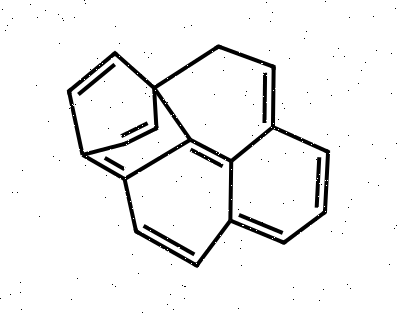 C1=CC23C=CC1=c1ccc4cccc(c4c12)=CC3